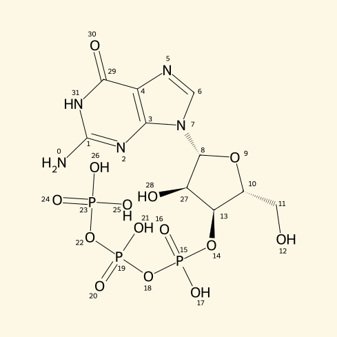 Nc1nc2c(ncn2[C@@H]2O[C@H](CO)[C@@H](OP(=O)(O)OP(=O)(O)OP(=O)(O)O)[C@H]2O)c(=O)[nH]1